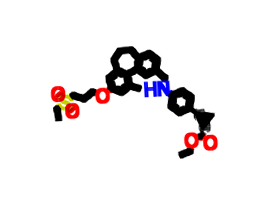 CCOC(=O)[C@H]1C[C@@H]1c1ccc(NCc2ccc3c(c2)-c2c(C)cc(OCCCS(=O)(=O)CC)cc2CCC3)cc1